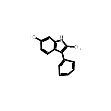 Cc1[nH]c2cc(O)ccc2c1-c1ccccc1